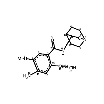 COc1cc(C(=O)NC2CN3CCC2CC3)c(OC)cc1N.Cl